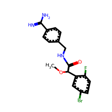 COC(C(=O)NCc1ccc(C(=N)N)cc1)c1cc(Br)ccc1F